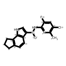 Cc1nc(N[S+]([O-])c2c[nH]c3c4c(ccc23)CCC4)c(F)cc1Cl